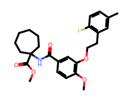 COC(=O)C1(NC(=O)c2ccc(OC)c(OCCc3cc(C)ccc3F)c2)CCCCCC1